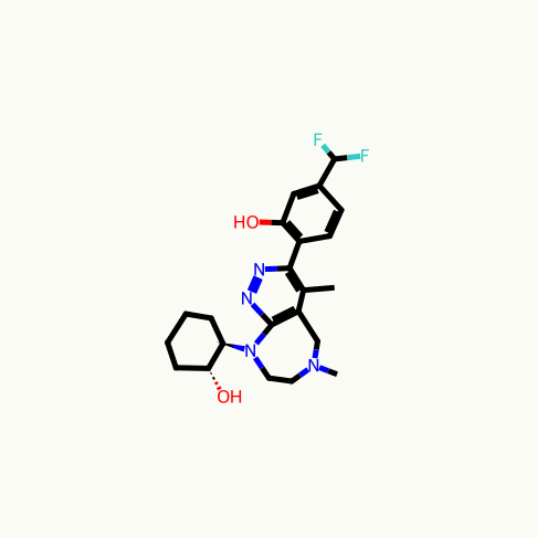 Cc1c(-c2ccc(C(F)F)cc2O)nnc2c1CN(C)CCN2[C@@H]1CCCC[C@H]1O